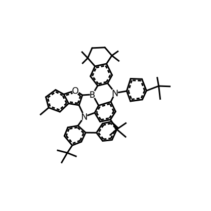 Cc1ccc2oc3c(c2c1)N(c1ccc(C(C)(C)C)cc1-c1ccccc1)c1cc(C(C)(C)C)cc2c1B3c1cc3c(cc1N2c1ccc(C(C)(C)C)cc1)C(C)(C)CCC3(C)C